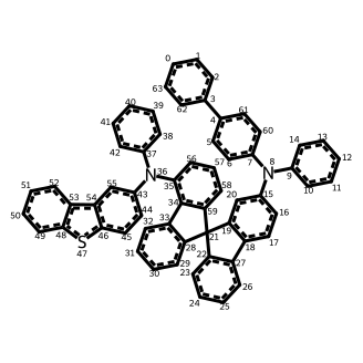 c1ccc(-c2ccc(N(c3ccccc3)c3ccc4c(c3)C3(c5ccccc5-4)c4ccccc4-c4c(N(c5ccccc5)c5ccc6sc7ccccc7c6c5)cccc43)cc2)cc1